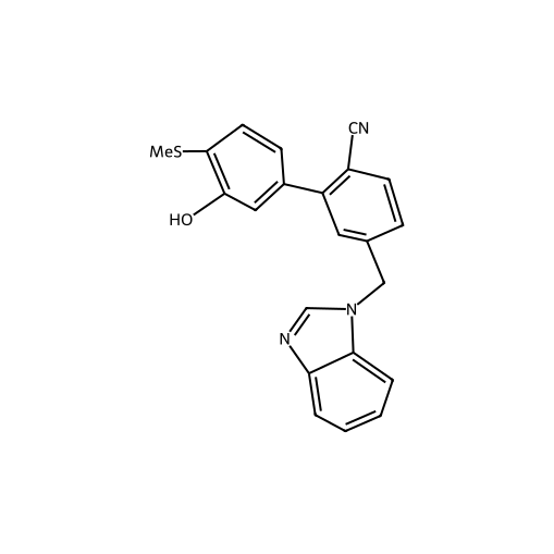 CSc1ccc(-c2cc(Cn3cnc4ccccc43)ccc2C#N)cc1O